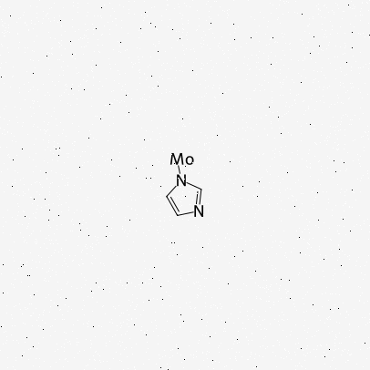 [Mo][n]1ccnc1